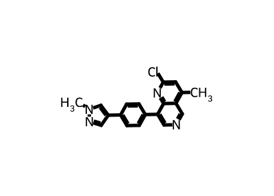 Cc1cc(Cl)nc2c(-c3ccc(-c4cnn(C)c4)cc3)cncc12